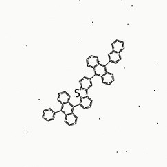 c1ccc(-c2c3ccccc3c(-c3cccc4c3sc3ccc(-c5c6ccccc6c(-c6ccc7ccccc7c6)c6ccccc56)cc34)c3ccccc23)cc1